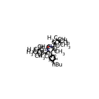 C/C=C(/B1OC(C)(C)C(C)(C)O1)[C@H](C)N(/C(=C\C)C(C)B1OC(C)(C)C(C)(C)O1)c1ccc(CCCC)cc1